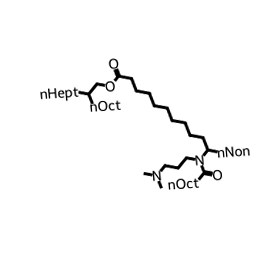 CCCCCCCCCC(CCCCCCCCCC(=O)OCC(CCCCCCC)CCCCCCCC)N(CCCN(C)C)C(=O)CCCCCCCC